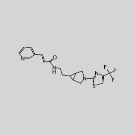 O=C(/C=C/c1cccnc1)NCCC1C2CN(c3nc(C(F)(F)F)cs3)CC12